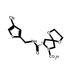 N#Cc1csc(CNC(=O)[C@@H]2CC3(CN2C(=O)O)OCCO3)c1